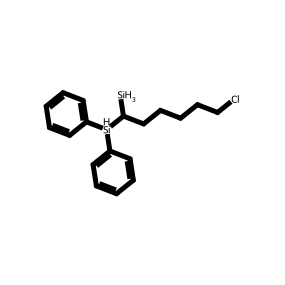 [SiH3]C(CCCCCCl)[SiH](c1ccccc1)c1ccccc1